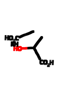 CC(=O)O.CC(O)C(=O)O.[KH]